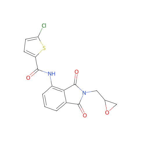 O=C(Nc1cccc2c1C(=O)N(CC1CO1)C2=O)c1ccc(Cl)s1